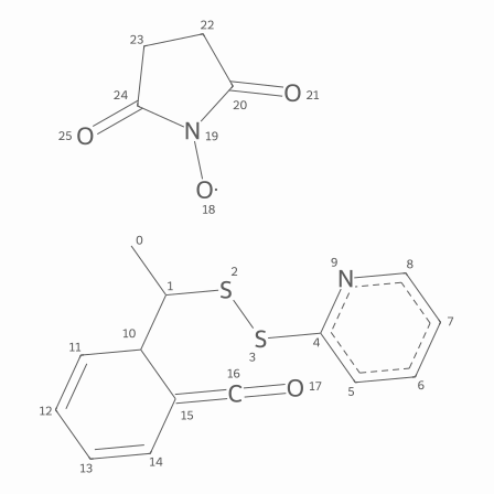 CC(SSc1ccccn1)C1C=CC=CC1=C=O.[O]N1C(=O)CCC1=O